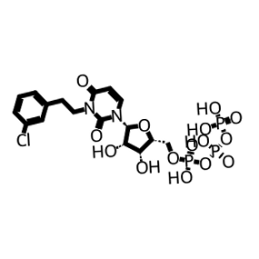 O=c1ccn([C@@H]2O[C@H](COP(=O)(O)OP(=O)(O)OP(=O)(O)O)[C@H](O)[C@@H]2O)c(=O)n1CCc1cccc(Cl)c1